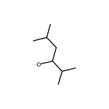 CC(C)CC([O])C(C)C